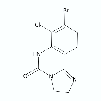 O=C1Nc2c(ccc(Br)c2Cl)C2=NCCN12